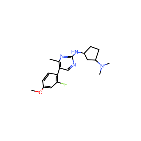 COc1ccc(-c2cnc(NC3CCC(N(C)C)C3)nc2C)c(F)c1